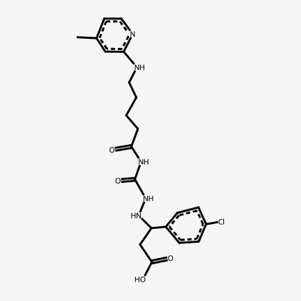 Cc1ccnc(NCCCCC(=O)NC(=O)NNC(CC(=O)O)c2ccc(Cl)cc2)c1